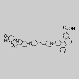 O=C1CC[C@@H](N2Cc3cc(N4CCN(CCC5CCN(c6ccc(C7=C(c8ccccc8)CCCc8cc(C(=O)O)ccc87)cc6)CC5)CC4)ccc3C2=O)C(=O)N1